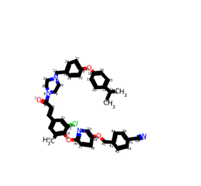 Cc1cc(C=CC(=O)N2CCN(Cc3ccc(Oc4ccc(C(C)C)cc4)cc3)CC2)cc(Cl)c1Oc1ccc(OCc2ccc(C#N)cc2)cn1